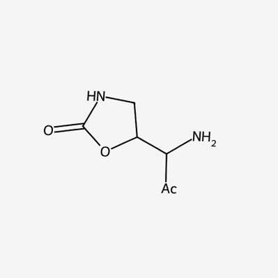 CC(=O)C(N)C1CNC(=O)O1